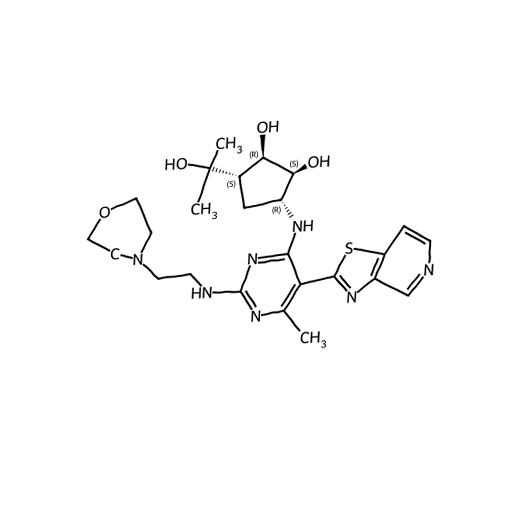 Cc1nc(NCCN2CCOCC2)nc(N[C@@H]2C[C@H](C(C)(C)O)[C@@H](O)[C@H]2O)c1-c1nc2cnccc2s1